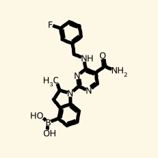 CC1Cc2c(B(O)O)cccc2N1c1ncc(C(N)=O)c(NCc2cccc(F)c2)n1